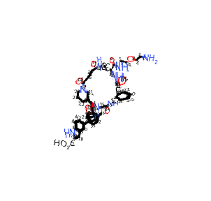 NCCOCCNC(=O)[C@@H]1CCNC(=O)/C=C/C(=O)N2CCC[C@](Cc3ccccc3)(C2)C(=O)N[C@@H](Cc2ccc(-c3ccc4[nH]c(C(=O)O)cc4c3)cc2)C(=O)NCc2ccccc2CC(=O)N1